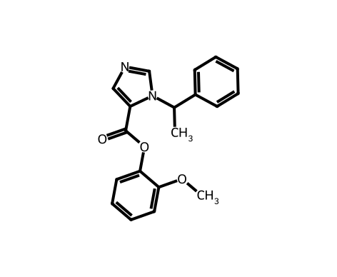 COc1ccccc1OC(=O)c1cncn1C(C)c1ccccc1